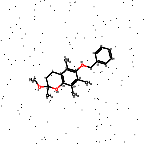 COC1(C)CCc2c(C)c(OCc3ccccc3)c(C)c(C)c2O1